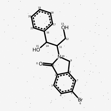 O=C1c2ccc(Br)cc2CN1C(CO)C(O)c1ccccc1